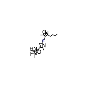 CCCCc1noc(C)c1/C=C/c1nc(C)c(C(=O)N[C@H](C)C(F)(F)F)s1